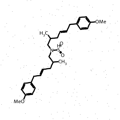 COc1ccc(CC=CCC(C)CN(CC(C)CC=CCc2ccc(OC)cc2)[SH](=O)=O)cc1